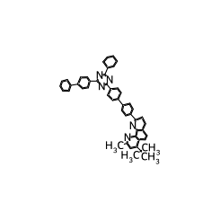 Cc1cc(C(C)(C)C)c2ccc3ccc(-c4ccc(-c5ccc(-c6nc(-c7ccccc7)nc(-c7ccc(-c8ccccc8)cc7)n6)cc5)cc4)nc3c2n1